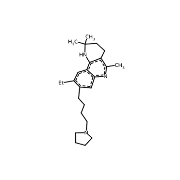 CCc1cc2c3c(c(C)nc2cc1CCCCN1CCCC1)CCC(C)(C)N3